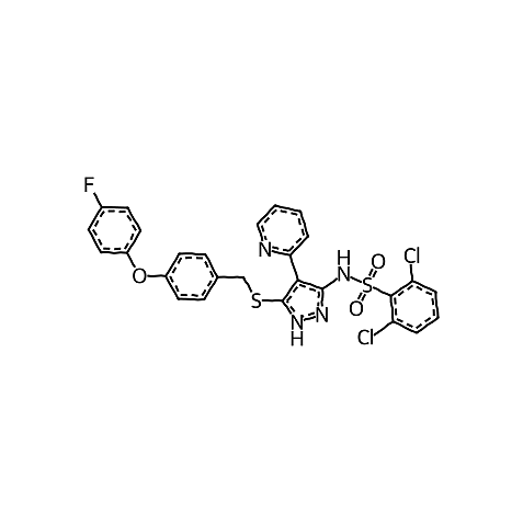 O=S(=O)(Nc1n[nH]c(SCc2ccc(Oc3ccc(F)cc3)cc2)c1-c1ccccn1)c1c(Cl)cccc1Cl